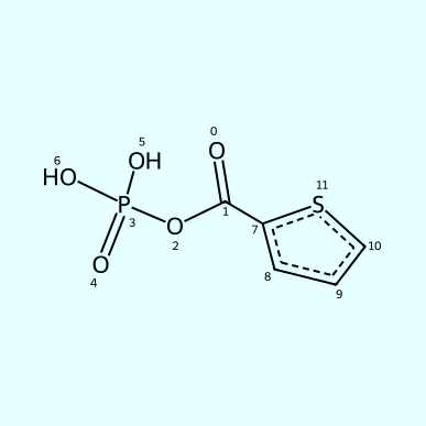 O=C(OP(=O)(O)O)c1cccs1